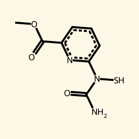 COC(=O)c1cccc(N(S)C(N)=O)n1